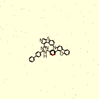 c1ccc(-c2ccc(C3=NC(c4cncc5sc6ccc(-n7c8ccccc8c8c9oc%10ccccc%10c9ccc87)cc6c45)=NC(c4ccccc4)N3)cc2)cc1